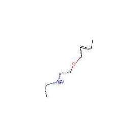 CC=CCOCCNCC